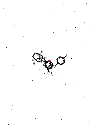 Cc1cc(N2C[C@H]3CC[C@@H](C2)[C@@H]3Nc2nc(Oc3ccc(F)cc3)n(C(C)C)n2)ncn1